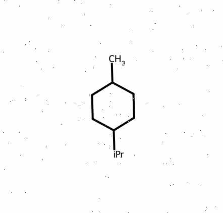 [CH2]C(C)C1C[CH]C(C)CC1